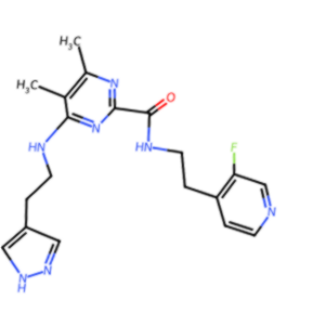 Cc1nc(C(=O)NCCc2ccncc2F)nc(NCCc2cn[nH]c2)c1C